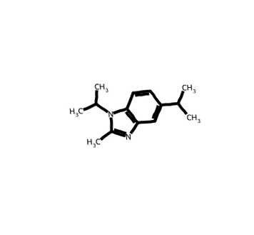 Cc1nc2cc(C(C)C)ccc2n1C(C)C